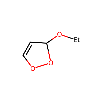 CCOC1C=COO1